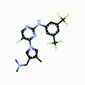 Cc1cn(-c2nc(Nc3cc(C(F)(F)F)cc(C(F)(F)F)c3)ncc2F)cc1CN(C)C